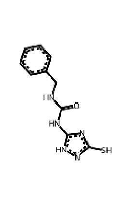 O=C(NCc1ccccc1)Nc1nc(S)n[nH]1